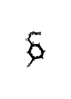 CCCCCSc1cccc(F)c1